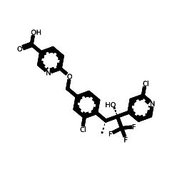 C[C@H](c1ccc(COc2ccc(C(=O)O)cn2)cc1Cl)[C@@](O)(c1ccnc(Cl)c1)C(F)(F)F